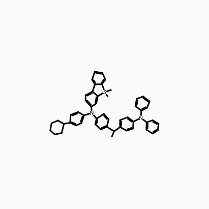 CC(c1ccc(N(c2ccccc2)c2ccccc2)cc1)c1ccc(N(c2ccc(C3CCCCC3)cc2)c2ccc3c(c2)S(C)(C)c2ccccc2-3)cc1